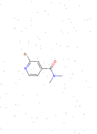 CN(C)C(=O)c1ccnc(Br)c1